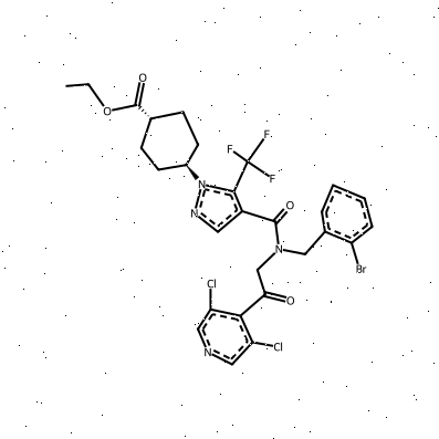 CCOC(=O)[C@H]1CC[C@H](n2ncc(C(=O)N(CC(=O)c3c(Cl)cncc3Cl)Cc3ccccc3Br)c2C(F)(F)F)CC1